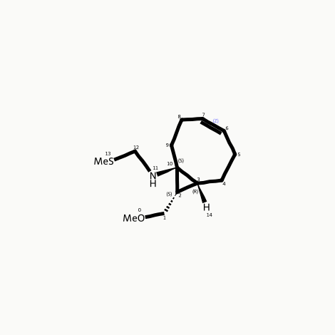 COC[C@H]1[C@H]2CC/C=C\CC[C@]21NCSC